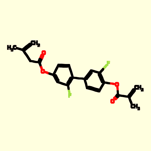 C=C(C)CC(=O)Oc1ccc(-c2ccc(OC(=O)C(=C)C)c(F)c2)c(F)c1